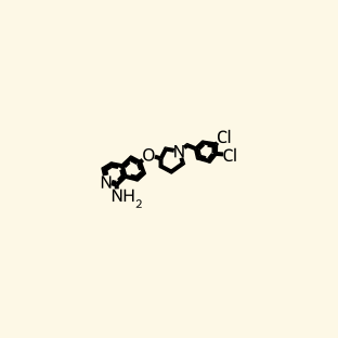 Nc1nccc2cc(OC3CCCN(Cc4ccc(Cl)c(Cl)c4)C3)ccc12